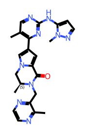 Cc1cnc(Nc2ccnn2C)nc1-c1cc2n(c1)C[C@H](C)N(Cc1nccnc1C)C2=O